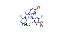 CCOc1nc(C)c(Nc2nc(=O)cc3n2C(c2ccc(F)cc2F)CC3)cc1F